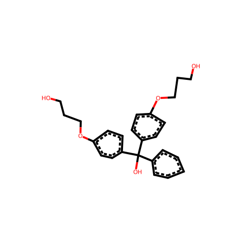 OCCCOc1ccc(C(O)(c2ccccc2)c2ccc(OCCCO)cc2)cc1